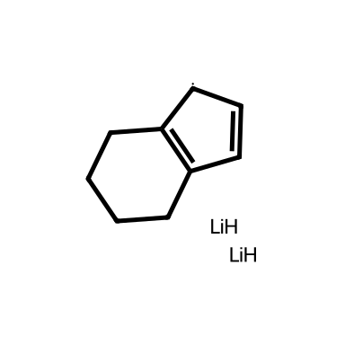 [CH]1C=CC2=C1CCCC2.[LiH].[LiH]